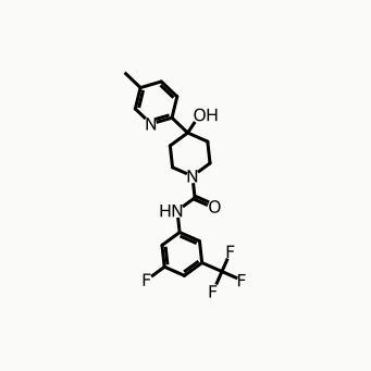 Cc1ccc(C2(O)CCN(C(=O)Nc3cc(F)cc(C(F)(F)F)c3)CC2)nc1